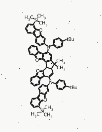 CC(C)(C)c1ccc(N(C2=CC3C(c4oc5ccccc5c42)c2c(cc(N(c4ccc(C(C)(C)C)cc4)c4ccc5c(c4)oc4c([Si](C)(C)C)cccc45)c4c2oc2ccccc24)C3(C)C)c2ccc3c(c2)oc2c([Si](C)(C)C)cccc23)cc1